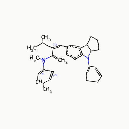 C=C(/C(=C\c1ccc2c(c1)C1CCCC1N2C1=CCCC=C1)C(C)C)N(C)C(/C=C\CC)=C/C